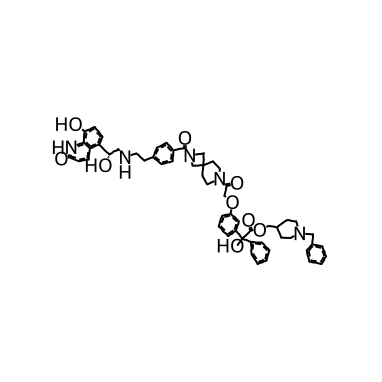 O=C(COc1cccc(C(O)(C(=O)OCC2CCN(Cc3ccccc3)CC2)c2ccccc2)c1)N1CCC2(CC1)CN(C(=O)c1ccc(CCNC[C@H](O)c3ccc(O)c4[nH]c(=O)ccc34)cc1)C2